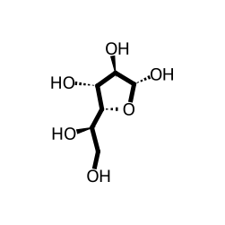 OC[C@@H](O)[C@H]1O[C@@H](O)[C@H](O)[C@H]1O